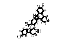 O=C(c1ccc2c(-c3ccncc3)c(-c3ccc(F)cc3)nn2c1)n1c2c(c3cc(Cl)ccc31)CCNC2